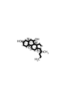 CCC[C@@H](C)[C@H]1CCC2[C@@H]3C(O)C[C@@H]4C[C@H](O)CC[C@]4(C)C3CC[C@@]21C